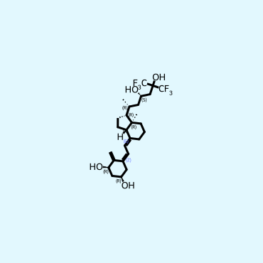 C=C1/C(=C\C=C2/CCC[C@]3(C)[C@@H]([C@H](C)C[C@H](O)CC(O)(C(F)(F)F)C(F)(F)F)CC[C@@H]23)C[C@@H](O)C[C@H]1O